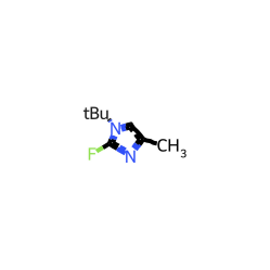 Cc1cn(C(C)(C)C)c(F)n1